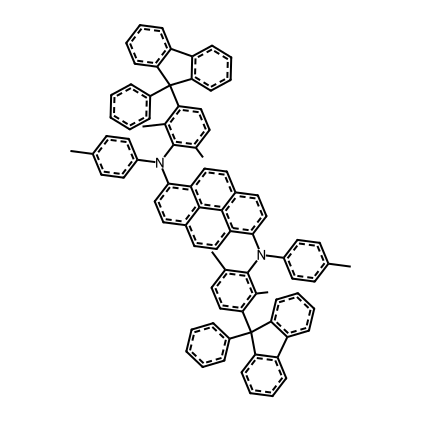 Cc1ccc(N(c2c(C)ccc(C3(c4ccccc4)c4ccccc4-c4ccccc43)c2C)c2ccc3ccc4c(N(c5ccc(C)cc5)c5c(C)ccc(C6(c7ccccc7)c7ccccc7-c7ccccc76)c5C)ccc5ccc2c3c54)cc1